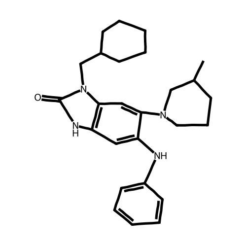 CC1CCCN(c2cc3c(cc2Nc2ccccc2)[nH]c(=O)n3CC2CCCCC2)C1